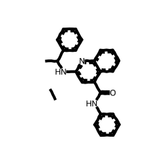 CC.CC(Nc1cc(C(=O)Nc2ccccc2)c2ccccc2n1)c1ccccc1